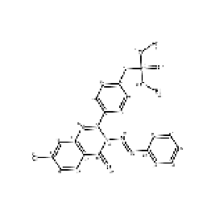 CCOP(=O)(Cc1ccc(-c2nc3cc(Cl)ccc3c(=O)n2N=Cc2ccccc2)cc1)OCC